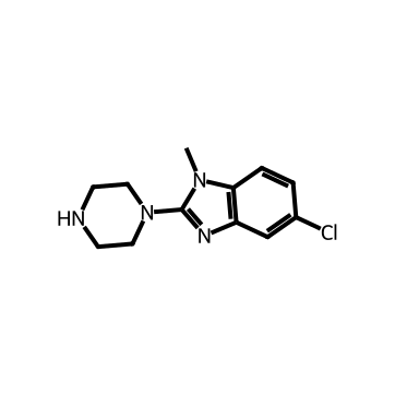 Cn1c(N2CCNCC2)nc2cc(Cl)ccc21